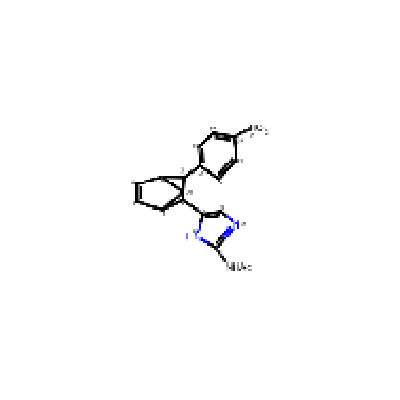 CC(=O)Nc1ncc(C2C3C=CC(C3)C2c2ccc([N+](=O)[O-])cc2)[nH]1